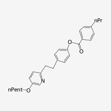 CCCCCOc1ccc(CCc2ccc(OC(=O)c3ccc(CCC)cc3)cc2)nc1